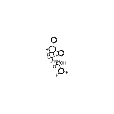 C[C@H](NC(=O)[C@H](O)c1cc(F)cc(F)c1)C(=O)N[C@@H]1C(=O)N(C)C[C@H](c2ccccc2)C[C@H]1c1ccccc1